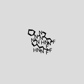 Fc1cc(-c2ccnc(N(c3ccccc3)c3nccc(-c4cc(C(F)(F)F)n[nH]4)n3)n2)[nH]n1